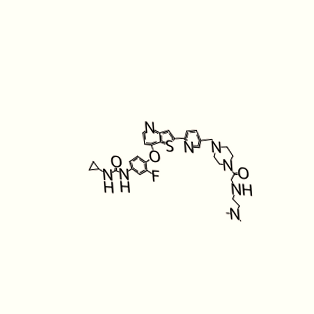 CN(C)CCNCC(=O)N1CCN(Cc2ccc(-c3cc4nccc(Oc5ccc(NC(=O)NC6CC6)cc5F)c4s3)nc2)CC1